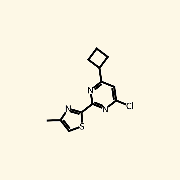 Cc1csc(-c2nc(Cl)cc(C3CCC3)n2)n1